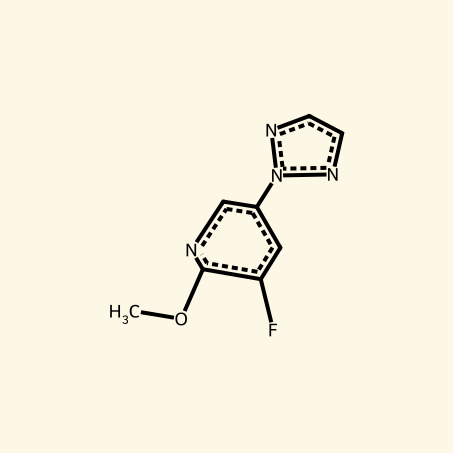 COc1ncc(-n2nccn2)cc1F